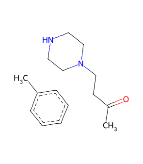 CC(=O)CCN1CCNCC1.Cc1ccccc1